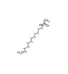 [CH2]C(=O)NCCCCCCCCCCCC